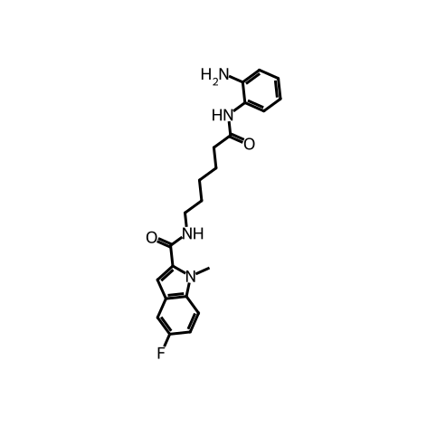 Cn1c(C(=O)NCCCCCC(=O)Nc2ccccc2N)cc2cc(F)ccc21